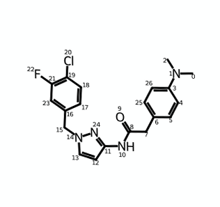 CN(C)c1ccc(CC(=O)Nc2ccn(Cc3ccc(Cl)c(F)c3)n2)cc1